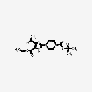 CCOC(=O)c1[nH]c(N2CCN(C(=O)OC(C)(C)C)CC2)nc1C(C)O